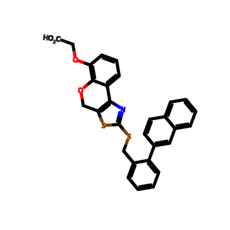 O=C(O)COc1cccc2c1OCc1sc(SCc3ccccc3-c3ccc4ccccc4c3)nc1-2